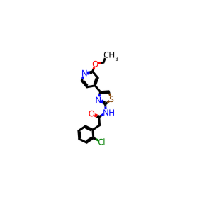 CCOc1cc(-c2csc(NC(=O)Cc3ccccc3Cl)n2)ccn1